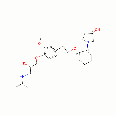 COc1cc(CCO[C@H]2CCCC[C@@H]2N2CC[C@H](O)C2)ccc1OCC(O)CNC(C)C